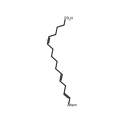 CCCCCC=CCC=CCCCC/C=C\CCCC(=O)O